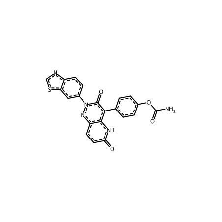 NC(=O)Oc1ccc(-c2c(=O)n(-c3ccc4ncsc4c3)nc3ccc(=O)[nH]c23)cc1